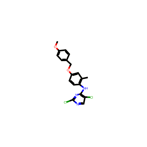 COc1ccc(COc2ccc(Nc3nc(Cl)ncc3Cl)c(C)c2)cc1